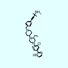 CC[C@H]1CN(c2ncc(-c3ncc[nH]3)cc2Cl)CCN1C1CCN(Cc2ccc(C#CC(C)(C)N)cc2)CC1